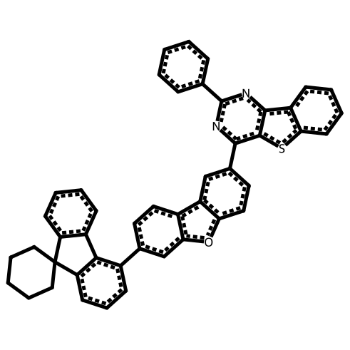 c1ccc(-c2nc(-c3ccc4oc5cc(-c6cccc7c6-c6ccccc6C76CCCCC6)ccc5c4c3)c3sc4ccccc4c3n2)cc1